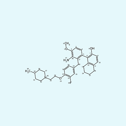 COc1ccc(-c2c(O)ccc3c2CCCC3)c(Cc2ccc(OCCN3CCC(C)CC3)c(F)c2)c1N